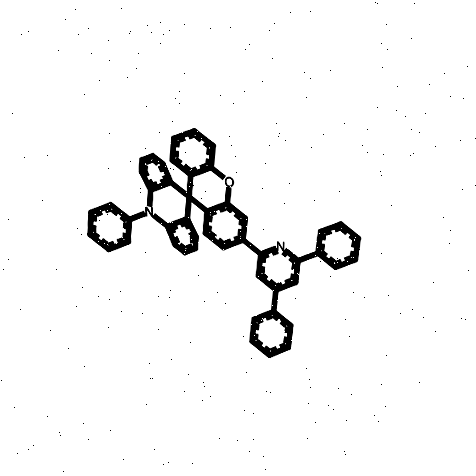 c1ccc(-c2cc(-c3ccccc3)nc(-c3ccc4c(c3)Oc3ccccc3C43c4ccccc4N(c4ccccc4)c4ccccc43)c2)cc1